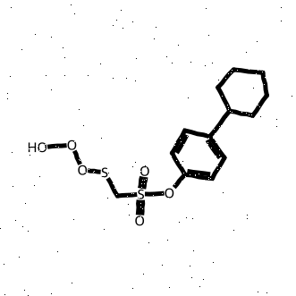 O=S(=O)(CSOOO)Oc1ccc(C2CCCCC2)cc1